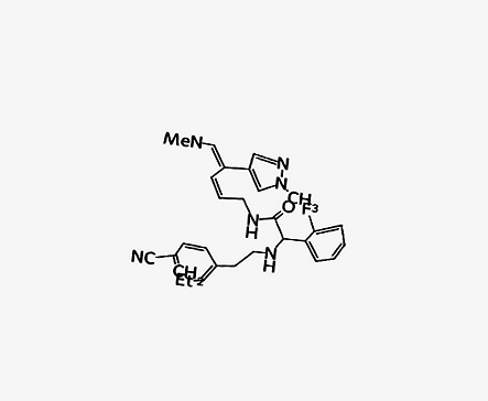 C=C(C#N)/C=C\C(=C/CC)CCNC(C(=O)NC/C=C\C(=C/NC)c1cnn(C)c1)c1ccccc1F